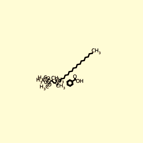 CCCCCCCCCCCCCCCCCC[N+](C)(C)CC(C)[Si](OC)(OC)OC.O=C(O)c1ccccc1